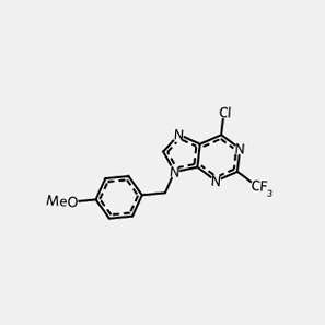 COc1ccc(Cn2cnc3c(Cl)nc(C(F)(F)F)nc32)cc1